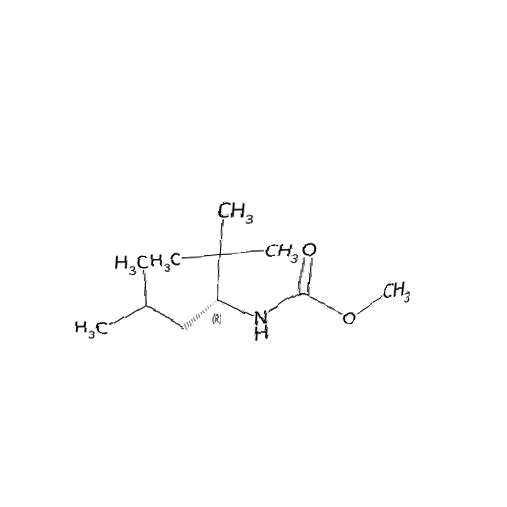 COC(=O)N[C@H](CC(C)C)C(C)(C)C